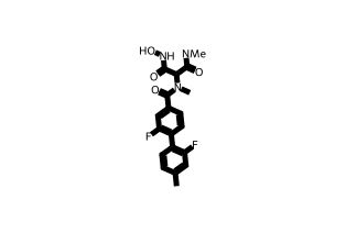 CNC(=O)C(C(=O)NO)N(C)C(=O)c1ccc(-c2ccc(C)cc2F)c(F)c1